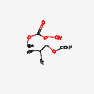 CC(C)(C)OC(=O)OO.CCCCC(CC)COC(=O)O